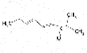 CCC=CC=CC(=O)C(C)C